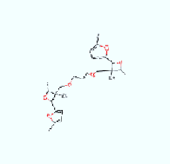 CCC1(COCCCOCC2(CC)C(C)OC2c2ccc(C)o2)C(C)OC1c1ccc(C)o1